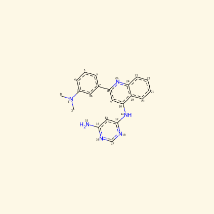 CN(C)c1cccc(-c2cc(Nc3cc(N)ncn3)c3ccccc3n2)c1